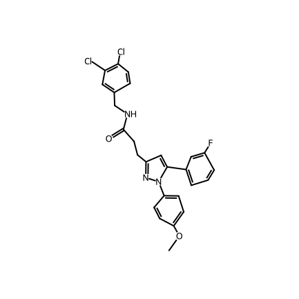 COc1ccc(-n2nc(CCC(=O)NCc3ccc(Cl)c(Cl)c3)cc2-c2cccc(F)c2)cc1